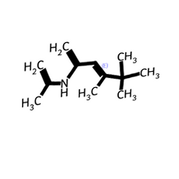 C=C(C)NC(=C)/C=C(\C)C(C)(C)C